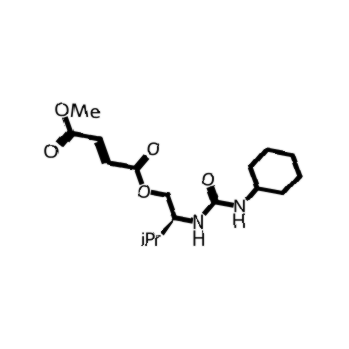 COC(=O)/C=C/C(=O)OC[C@@H](NC(=O)NC1CCCCC1)C(C)C